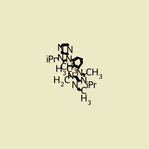 C=NC1=C(/N=C\C)N(C(C)C)[C@@H](C)N1c1cccc(N2c3nccnc3N(C(C)C)[C@@H]2C)c1C